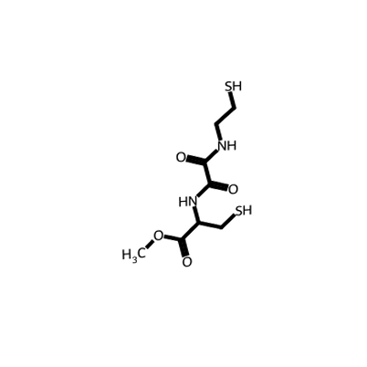 COC(=O)C(CS)NC(=O)C(=O)NCCS